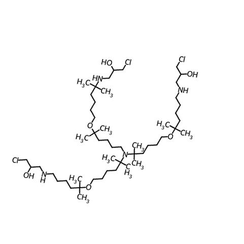 CC(C)(CCCCOC(C)(C)CCCCN(C(C)(C)CCCCOC(C)(C)CCCCNCC(O)CCl)C(C)(C)CCCCOC(C)(C)CCCCNCC(O)CCl)NCC(O)CCl